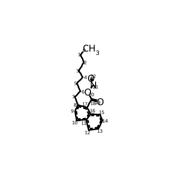 CCCCCCCCc1ccc2ccccc2c1C(=O)ON=O